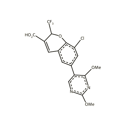 COc1ncc(-c2cc(Cl)c3c(c2)C=C(C(=O)O)C(C(F)(F)F)O3)c(OC)n1